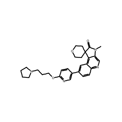 CN1C(=O)C2(CCOCC2)c2c1cnc1ccc(-c3ccc(OCCCN4CCCC4)nc3)cc21